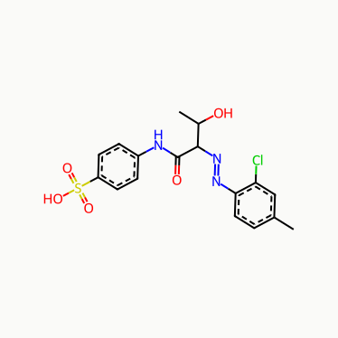 Cc1ccc(/N=N/C(C(=O)Nc2ccc(S(=O)(=O)O)cc2)C(C)O)c(Cl)c1